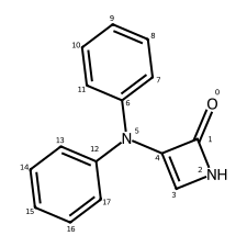 O=C1NC=C1N(c1ccccc1)c1ccccc1